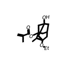 C=C(C)C(=O)OC12CC3CC(O)(CC(OCC)(C3)C1C)C2